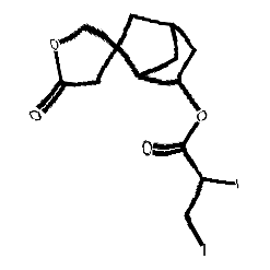 O=C1CC2(CO1)CC1CC(OC(=O)C(I)CI)C2C1